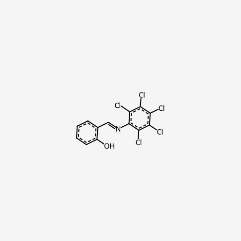 Oc1ccccc1C=Nc1c(Cl)c(Cl)c(Cl)c(Cl)c1Cl